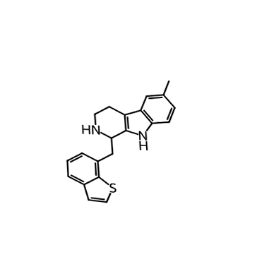 Cc1ccc2[nH]c3c(c2c1)CCNC3Cc1cccc2ccsc12